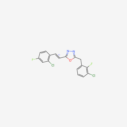 Fc1ccc(/C=C/c2nnc(Cc3cccc(Cl)c3F)o2)c(Cl)c1